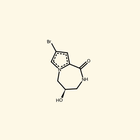 O=C1NC[C@@H](O)Cn2cc(Br)cc21